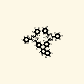 c1ccc(C2=NC(c3ccccc3)NC(c3ccc(-c4ccc5ccccc5c4-c4ccc(C5=NC(c6ccccc6)=NC(c6ccccc6)N5)cc4)cc3)=N2)cc1